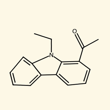 CCn1c2ccccc2c2cccc(C(C)=O)c21